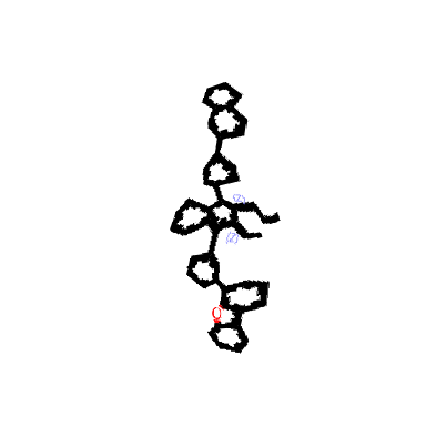 C=C/C=c1/c(-c2ccc(-c3ccc4ccccc4c3)cc2)c2ccccc2c(-c2cccc(-c3cccc4c3oc3ccccc34)c2)/c1=C/C